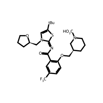 CC(C)(C)c1cn(C[C@H]2CCCO2)c(=NC(=O)c2cc(C(F)(F)F)ccc2OC[C@@H]2CCCN(C(=O)O)C2)s1